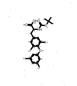 CC(C)(C)OC(=O)NC(Cc1cc(I)c(Oc2cc(I)cc(I)c2)c(I)c1)C(=O)O